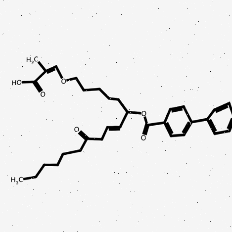 CCCCCCC(=O)CC=CC(CCCCCOC=C(C)C(=O)O)OC(=O)c1ccc(-c2ccccc2)cc1